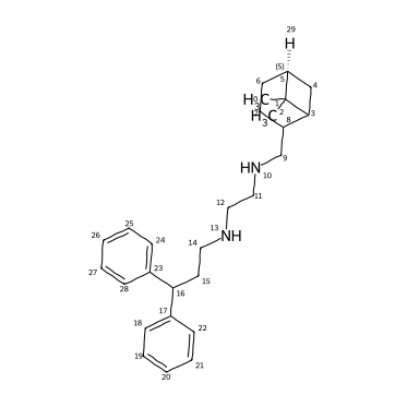 CC1(C)C2C[C@@H]1CCC2CNCCNCCC(c1ccccc1)c1ccccc1